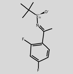 CC(=N[S@+]([O-])C(C)(C)C)c1ccc(F)cc1F